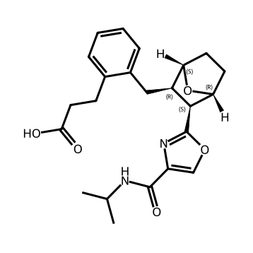 CC(C)NC(=O)c1coc([C@H]2[C@@H](Cc3ccccc3CCC(=O)O)[C@@H]3CC[C@H]2O3)n1